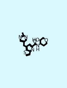 Cc1ncc(Cc2cc(C(=O)N[C@@H]3CCOC[C@H]3O)nc3ccsc23)cn1